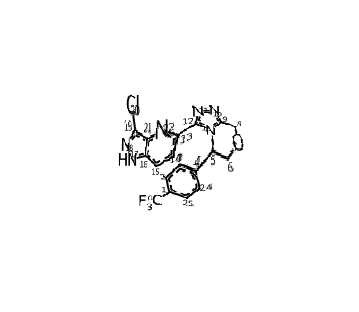 FC(F)(F)c1ccc(C2COCc3nnc(-c4ccc5[nH]nc(Cl)c5n4)n32)cc1